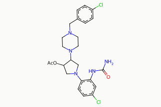 CC(=O)OC1CN(c2ccc(Cl)cc2NC(N)=O)CC1N1CCN(Cc2ccc(Cl)cc2)CC1